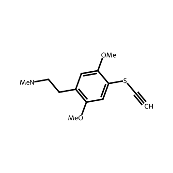 C#CSc1cc(OC)c(CCNC)cc1OC